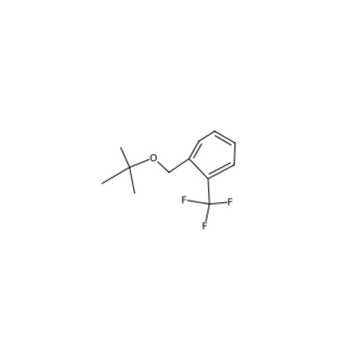 CC(C)(C)OCc1ccccc1C(F)(F)F